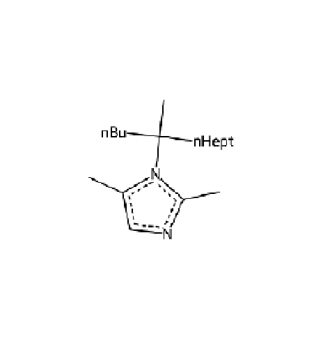 CCCCCCCC(C)(CCCC)n1c(C)cnc1C